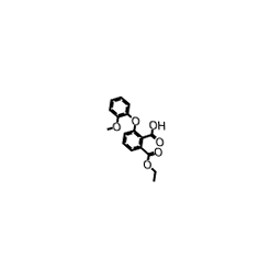 CCOC(=O)c1cccc(Oc2ccccc2OC)c1C(=O)O